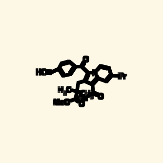 C#Cc1ccc(C(=O)c2c(CC(C)(C)C(=O)OC)c(C(=O)C(C)(C)C)c3cc(C(C)C)ccn23)cc1